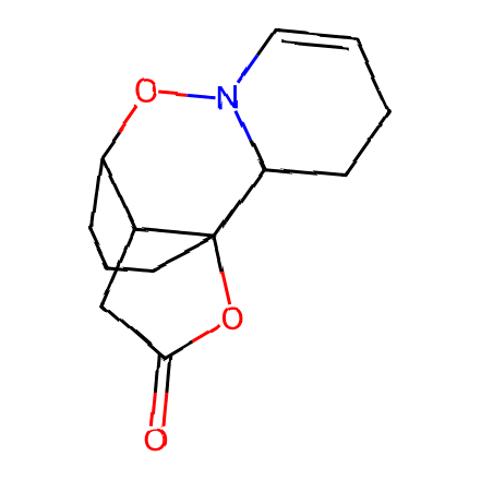 O=C1CC2C3CCCC2(O1)C1CCC=CN1O3